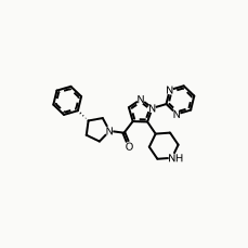 O=C(c1cnn(-c2ncccn2)c1C1CCNCC1)N1CC[C@H](c2ccccc2)C1